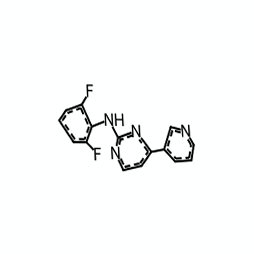 Fc1cccc(F)c1Nc1nccc(-c2cccnc2)n1